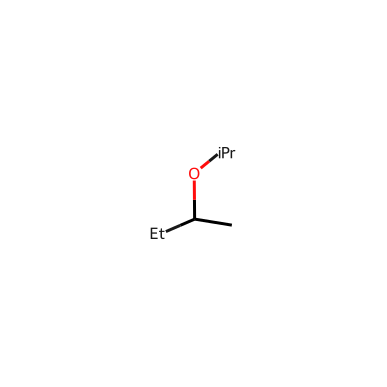 [CH]CC(C)OC(C)C